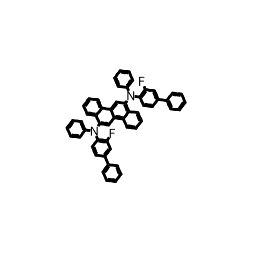 Fc1cc(-c2ccccc2)ccc1N(c1ccccc1)c1cc2c3ccccc3c(N(c3ccccc3)c3ccc(-c4ccccc4)cc3F)cc2c2ccccc12